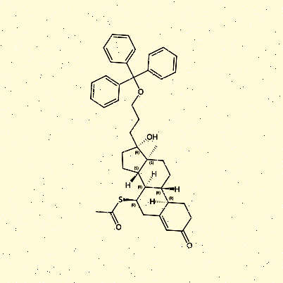 CC(=O)S[C@@H]1CC2=CC(=O)CC[C@@H]2[C@H]2CC[C@@]3(C)[C@@H](CC[C@@]3(O)CCCOC(c3ccccc3)(c3ccccc3)c3ccccc3)[C@@H]21